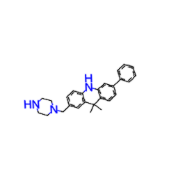 CC1(C)c2ccc(-c3ccccc3)cc2Nc2ccc(CN3CCNCC3)cc21